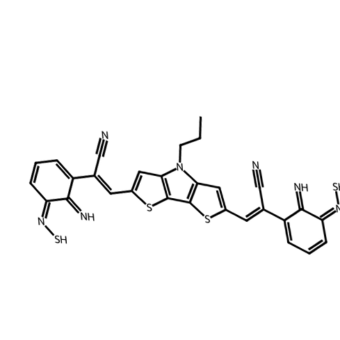 CCCn1c2cc(/C=C(\C#N)C3=CC=C/C(=N/S)C3=N)sc2c2sc(/C=C(\C#N)C3=CC=C/C(=N/S)C3=N)cc21